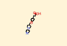 O=C(O)CCc1ccc(OCC2CCN(c3ccncc3)CC2)cc1